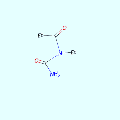 CCC(=O)N(CC)C(N)=O